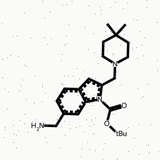 CC1(C)CCN(Cc2cc3ccc(CN)cc3n2C(=O)OC(C)(C)C)CC1